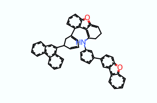 C1=CC(c2cc3ccccc3c3ccccc23)CC(c2cccc3oc4c(c23)=C(Nc2cccc(-c3ccc5oc6ccccc6c5c3)c2)CCC=4)=C1